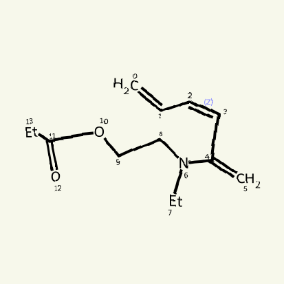 C=C/C=C\C(=C)N(CC)CCOC(=O)CC